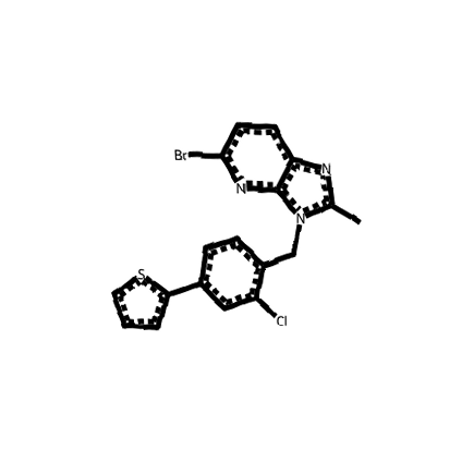 Cc1nc2ccc(Br)nc2n1Cc1ccc(-c2cccs2)cc1Cl